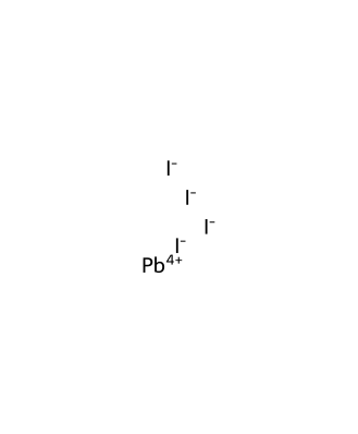 [I-].[I-].[I-].[I-].[Pb+4]